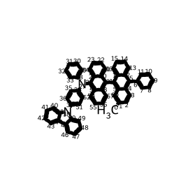 Cc1ccc2c(-c3ccccc3)c3ccccc3c(-c3c4ccccc4c(N(c4ccccc4)c4ccc(-n5c6ccccc6c6ccccc65)cc4)c4ccccc34)c2c1